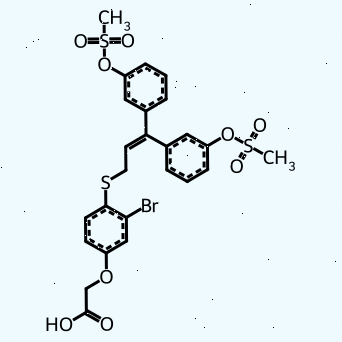 CS(=O)(=O)Oc1cccc(C(=CCSc2ccc(OCC(=O)O)cc2Br)c2cccc(OS(C)(=O)=O)c2)c1